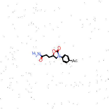 CC(=O)c1ccc(N2CC(CCC(N)=O)OC2=O)cc1